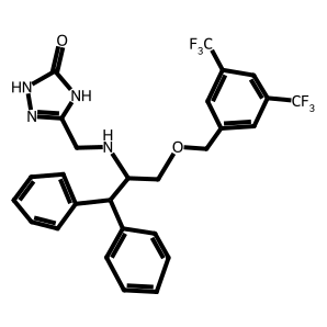 O=c1[nH]nc(CNC(COCc2cc(C(F)(F)F)cc(C(F)(F)F)c2)C(c2ccccc2)c2ccccc2)[nH]1